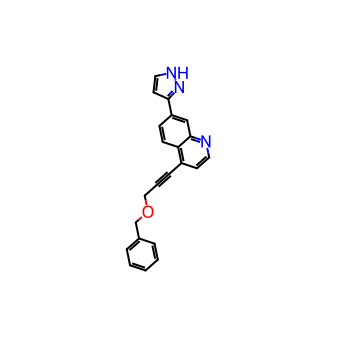 C(#Cc1ccnc2cc(-c3cc[nH]n3)ccc12)COCc1ccccc1